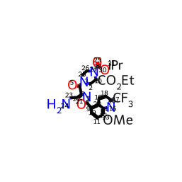 CCOC(=O)C1CN(C(=O)c2nc(-c3ccc(OC)c4nc(C(F)(F)F)ccc34)oc2CN)CCN1C(=O)OC(C)C